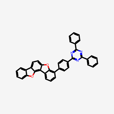 c1ccc(-c2nc(-c3ccccc3)nc(-c3ccc(-c4cccc5c4oc4ccc6c7ccccc7oc6c45)cc3)n2)cc1